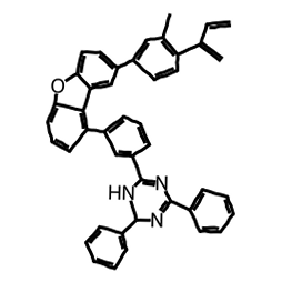 C=CC(=C)c1ccc(-c2ccc3oc4cccc(-c5cccc(C6=NC(c7ccccc7)=NC(c7ccccc7)N6)c5)c4c3c2)cc1C